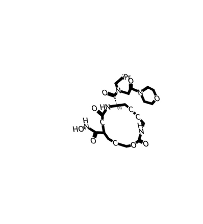 CC(C)CN(CC(=O)N1CCOCC1)C(=O)[C@@H]1CCCCNC(=O)OCCCC(C(=O)NO)CC(=O)N1